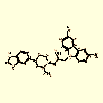 CC1CN(c2ccc3c(c2)OCO3)CCN1CC(O)Cn1c2ccc(Br)cc2c2cc(Br)ccc21